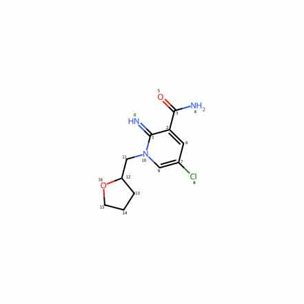 N=c1c(C(N)=O)cc(Cl)cn1CC1CCCO1